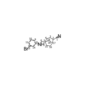 N#CC1CCC2(CNc3cccc(Br)c3)CCC1CC2